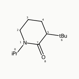 CC(C)N1CCCC(C(C)(C)C)C1=O